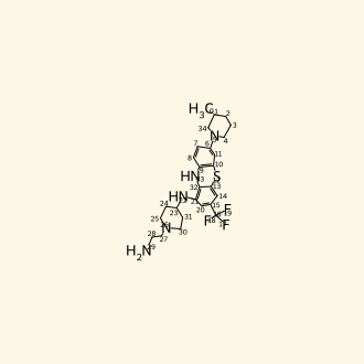 CC1CCCN(c2ccc3c(c2)Sc2cc(C(F)(F)F)cc(NC4CCN(CCN)CC4)c2N3)C1